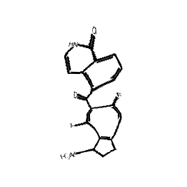 NC1CCc2cc(F)c(C(=O)c3cccc4c(=O)[nH]ccc34)c(F)c21